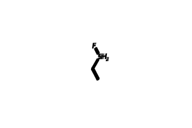 CC[SiH2]F